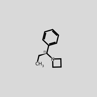 CC[C@@H](c1ccccc1)N1CCC1